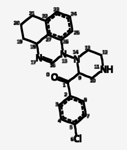 O=C(c1ccc(Cl)cc1)C1CNCCN1N1C=NC2CCCc3cccc1c32